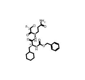 NC(=O)CCN(NC(=O)[C@H](CC1CCCCC1)NC(=O)OCc1ccccc1)C(=O)[C@H](F)Cl